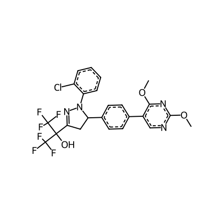 COc1ncc(-c2ccc(C3CC(C(O)(C(F)(F)F)C(F)(F)F)=NN3c3ccccc3Cl)cc2)c(OC)n1